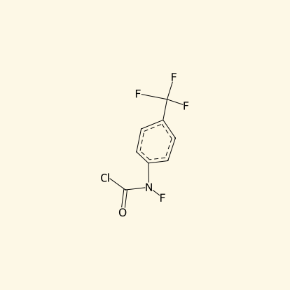 O=C(Cl)N(F)c1ccc(C(F)(F)F)cc1